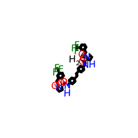 C=S(=O)(Cc1cccc(C(F)(F)F)c1)N1CCC[C@H]1C(=O)Nc1ccc(/C=C/c2ccc(NC(=O)[C@@H]3CCCN3S(=O)(=O)Cc3cccc(C(F)(F)F)c3)cc2)cc1